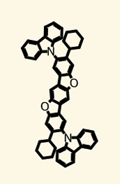 c1ccc2c(c1)c1ccccc1n2-c1cc2c(cc1C1CCCCC1)oc1cc3c(cc12)oc1cc(C2CCCCC2)c(-n2c4ccccc4c4ccccc42)cc13